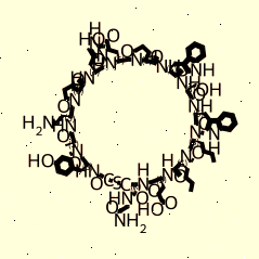 CCCC[C@H]1C(=O)N(C)[C@@H](CCCC)C(=O)N[C@@H](CCC(=O)O)C(=O)N[C@H](C(=O)NCC(N)=O)CSCC(=O)N[C@@H](Cc2ccc(O)cc2)C(=O)N(C)[C@@H](C)C(=O)N[C@@H](CCN)C(=O)N2CCC[C@H]2C(=O)N[C@@H](Cc2c[nH]cn2)C(=O)N[C@@H](CCC(=O)O)C(=O)N2CCC[C@H]2C(=O)N[C@@H](Cc2c[nH]c3ccccc23)C(=O)N[C@@H](CO)C(=O)N[C@@H](Cc2c[nH]c3ccccc23)C(=O)N1C